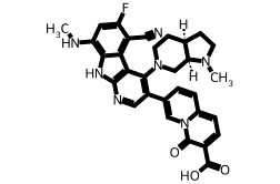 CNc1cc(F)c(C#N)c2c1[nH]c1ncc(-c3ccc4ccc(C(=O)O)c(=O)n4c3)c(N3CC[C@H]4CCN(C)[C@H]4C3)c12